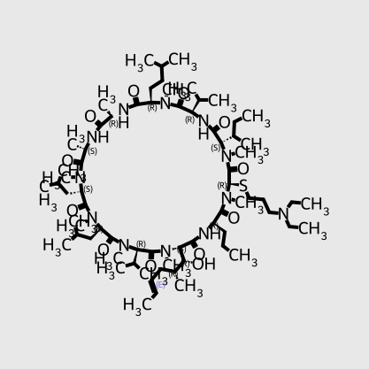 C/C=C/C[C@@H](C)[C@@H](O)[C@H]1C(=O)N[C@H](CCC)C(=O)N(C)[C@H](SCCCN(CC)CC)C(=O)N(C)[C@@H](C(C)CC)C(=O)N[C@H](C(C)C)C(=O)N(C)[C@H](CCC(C)C)C(=O)N[C@H](C)C(=O)N[C@@H](C)C(=O)N(C)[C@@H](CC(C)C)C(=O)N(C)[C@H](CC(C)C)C(=O)N(C)[C@H](C(C)C)C(=O)N1C